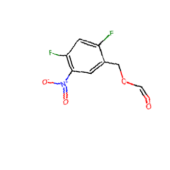 O=COCc1cc([N+](=O)[O-])c(F)cc1F